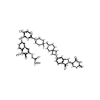 CNC(=O)COc1cc2cc(Nc3nc(N4CCC(F)(CN5CCC6(CC5)CN(c5ccc7c(c5)CN(C5CCC(=O)NC5=O)C7=O)C6)CC4)ncc3Cl)ccc2n(C(C)C)c1=O